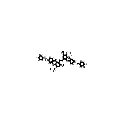 Cc1cc(=O)c(CCc2cc(=O)c(C)c3sc4cc(OCc5ccccc5)ccc4nc2-3)c2sc3ccc(OCc4ccccc4)cc3nc1-2